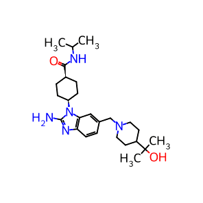 CC(C)NC(=O)[C@H]1CC[C@@H](n2c(N)nc3ccc(CN4CCC(C(C)(C)O)CC4)cc32)CC1